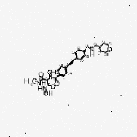 CNC(=O)C(C(=O)NO)N(C)C(=O)c1ccc(C#Cc2ccc(CNCC3CCOCC3)cc2)cc1